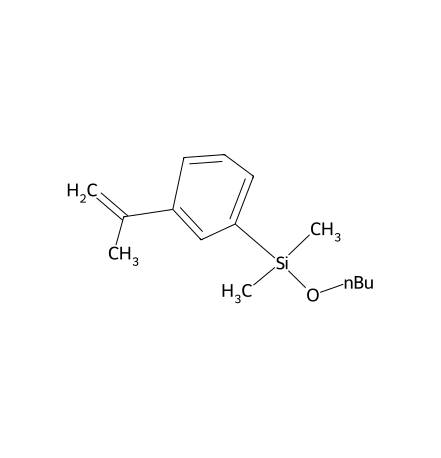 C=C(C)c1cccc([Si](C)(C)OCCCC)c1